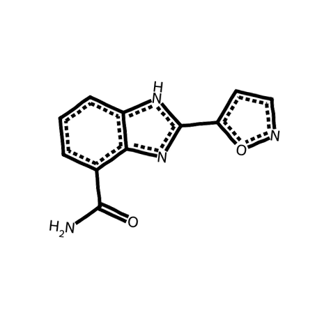 NC(=O)c1cccc2[nH]c(-c3ccno3)nc12